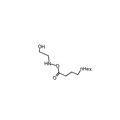 CCCCCCCCCC(=O)ONCCO